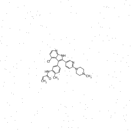 C=CC(=O)Nc1cc(-c2c(-c3ccc(N4CCN(C)CC4)nc3)[nH]c3nccc(Cl)c23)ccc1C